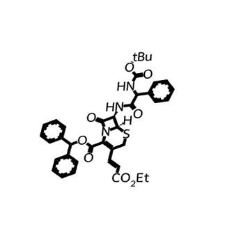 CCOC(=O)/C=C/C1=C(C(=O)OC(c2ccccc2)c2ccccc2)N2C(=O)[C@@H](NC(=O)C(NC(=O)OC(C)(C)C)c3ccccc3)[C@H]2SC1